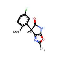 COc1ccc(Cl)cc1[C@]1(C)C(=O)Nc2oc(C(F)(F)F)nc21